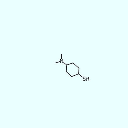 CN(C)C1CCC(S)CC1